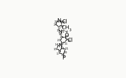 Cc1c(CN2CCOc3c(Cl)cc(-n4ccc5cc(F)ccc54)cc3C2)ccnc1Cl